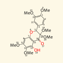 COc1ccc(C2Oc3cc(OC)c(OC)c(O)c3C(=O)C2(OC)OC)cc1OC